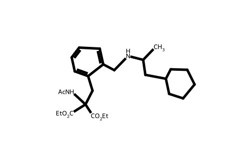 CCOC(=O)C(Cc1ccccc1CNC(C)CC1CCCCC1)(NC(C)=O)C(=O)OCC